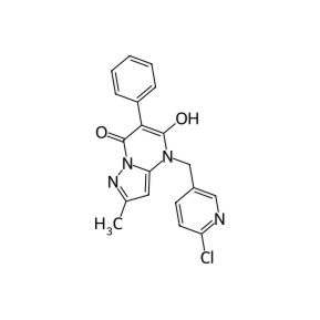 Cc1cc2n(Cc3ccc(Cl)nc3)c(O)c(-c3ccccc3)c(=O)n2n1